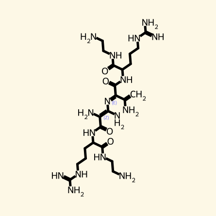 C=C(N)/C(=N\C(N)=C(/N)C(=O)NC(CCCNC(=N)N)C(=O)NCCN)C(=O)NC(CCCNC(=N)N)C(=O)NCCN